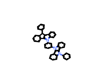 c1ccc(C2c3ccccc3-c3c2c2ccccc2n3-c2cccc(-n3c4ccccc4c4c3c3ccccc3n4-c3ccccc3)c2)cc1